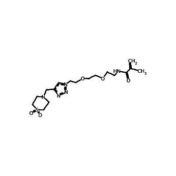 C=C(C)C(=O)NCCOCCOCCn1cc(CN2CCS(=O)(=O)CC2)nn1